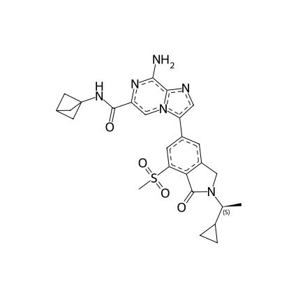 C[C@@H](C1CC1)N1Cc2cc(-c3cnc4c(N)nc(C(=O)NC56CC(C5)C6)cn34)cc(S(C)(=O)=O)c2C1=O